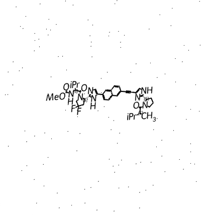 COC(=O)N[C@H](C(=O)N1CC(F)(F)C[C@H]1c1ncc(-c2ccc3cc(C#Cc4c[nH]c([C@@H]5CCCN5C(=O)[C@@H](C)C(C)C)n4)ccc3c2)[nH]1)C(C)C